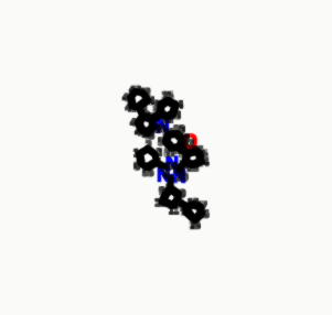 C1=CCCC(c2nc(-c3cccc(-c4ccccc4)c3)nc(-c3cccc4oc5cc(-n6c7ccccc7c7c(C8=CCCC=C8)cccc76)ccc5c34)n2)=C1